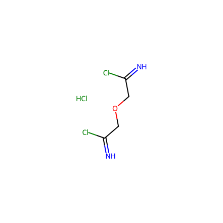 Cl.N=C(Cl)COCC(=N)Cl